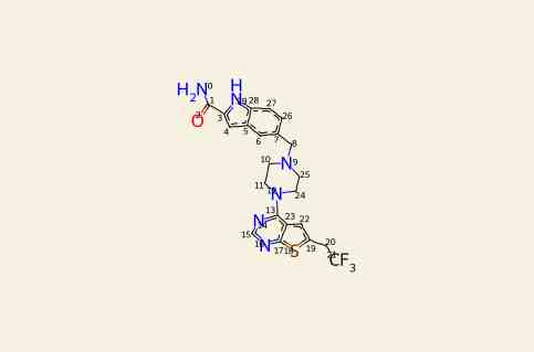 NC(=O)c1cc2cc(CN3CCN(c4ncnc5sc(CC(F)(F)F)cc45)CC3)ccc2[nH]1